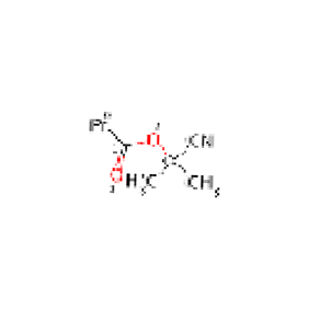 CC(C)C(=O)OC(C)(C)C#N